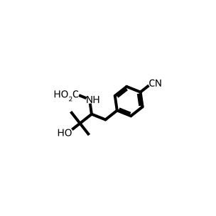 CC(C)(O)C(Cc1ccc(C#N)cc1)NC(=O)O